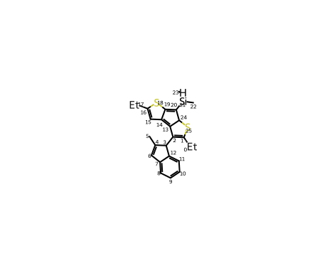 CCC1=C(C2C(C)=Cc3ccccc32)C2=c3cc(CC)sc3=C([SiH](C)C)C2S1